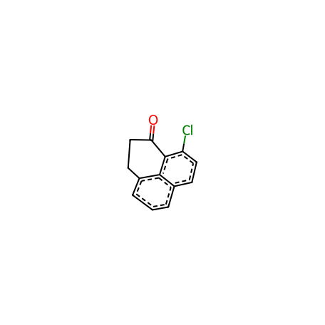 O=C1CCc2cccc3ccc(Cl)c1c23